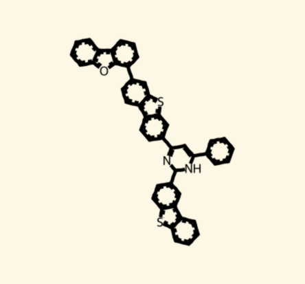 C1=C(c2ccccc2)NC(c2ccc3sc4ccccc4c3c2)N=C1c1ccc2c(c1)sc1cc(-c3cccc4c3oc3ccccc34)ccc12